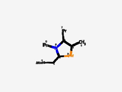 CNCC1PC(C)C(C(C)C)N1C(C)C